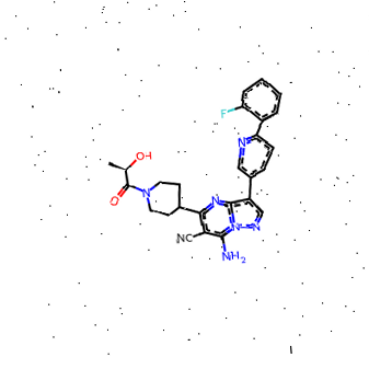 C[C@@H](O)C(=O)N1CCC(c2nc3c(-c4ccc(-c5ccccc5F)nc4)cnn3c(N)c2C#N)CC1